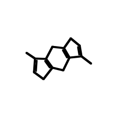 CC1=CCC2=C1CC1=C(C2)C(C)=CC1